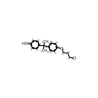 CC(C)(c1ccc(O)cc1)c1ccc(OCCCCl)cc1